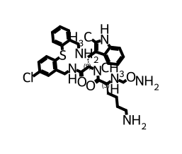 Cc1[nH]c2ccccc2c1C[C@@H](C(=O)NCc1cc(Cl)ccc1Sc1ccccc1CN)N(C)C(=O)[C@H](CCCCN)NCON